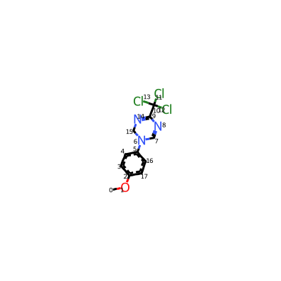 COc1ccc(N2C=NC(C(Cl)(Cl)Cl)=NC2)cc1